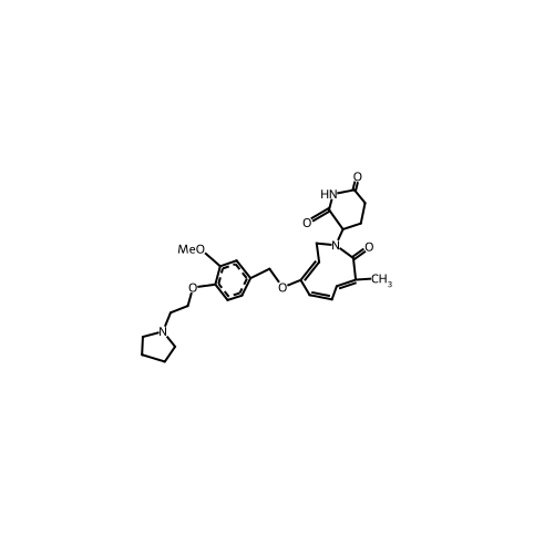 COc1cc(COC2=C\CN(C3CCC(=O)NC3=O)C(=O)/C(C)=C/C=C\2)ccc1OCCN1CCCC1